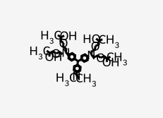 CC(O)COCCN(CCOCC(C)O)c1ccc(C(c2ccc(N(C)C)cc2)c2ccc(N(CCOCC(C)O)CCOCC(C)O)cc2)cc1